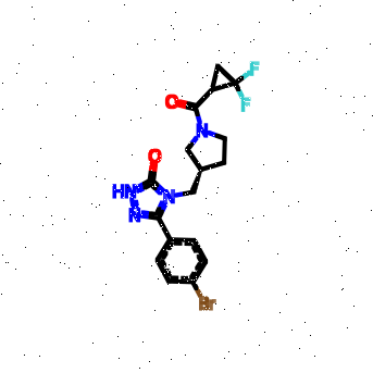 O=C(C1CC1(F)F)N1CC[C@@H](Cn2c(-c3ccc(Br)cc3)n[nH]c2=O)C1